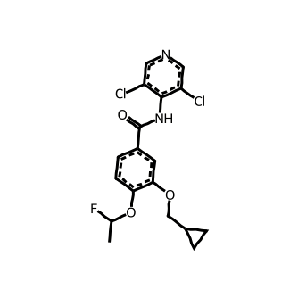 CC(F)Oc1ccc(C(=O)Nc2c(Cl)cncc2Cl)cc1OCC1CC1